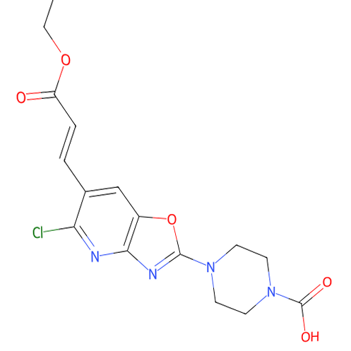 CCOC(=O)C=Cc1cc2oc(N3CCN(C(=O)O)CC3)nc2nc1Cl